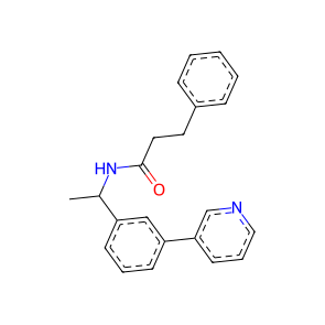 CC(NC(=O)CCc1ccccc1)c1cccc(-c2cccnc2)c1